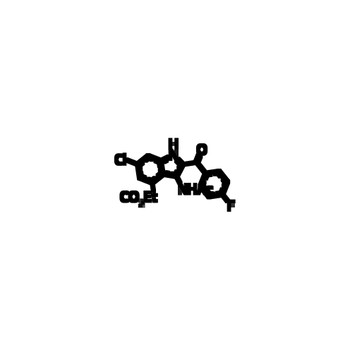 CCOC(=O)c1cc(Cl)cc2[nH]c(C(=O)c3ccc(F)cc3)c(NC(C)=O)c12